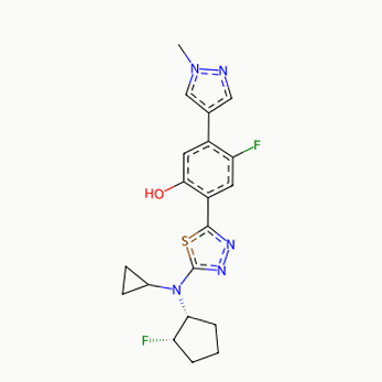 Cn1cc(-c2cc(O)c(-c3nnc(N(C4CC4)[C@@H]4CCC[C@@H]4F)s3)cc2F)cn1